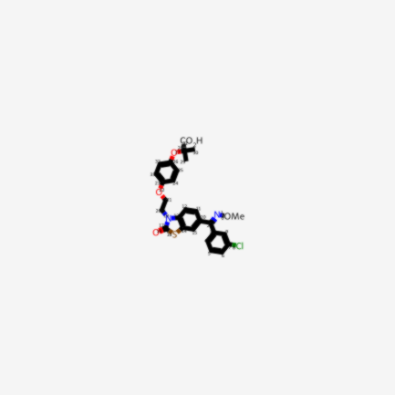 CON=C(c1cccc(Cl)c1)c1ccc2c(c1)sc(=O)n2CCOc1ccc(OC(C)(C)C(=O)O)cc1